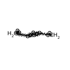 C=CC(=O)OCCCCCCOc1ccc(OC(=O)c2ccc(OCCCCCCC3CC(=C)C(=O)O3)cc2)cc1